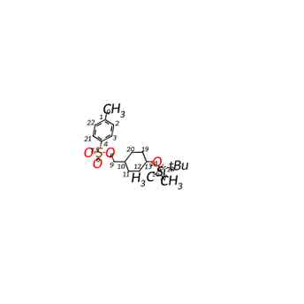 Cc1ccc(S(=O)(=O)OCC2CCC(O[Si](C)(C)C(C)(C)C)CC2)cc1